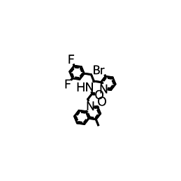 Cc1cc(=O)n(CC(=O)NC(Cc2cc(F)cc(F)c2)c2ncccc2Br)c2ccccc12